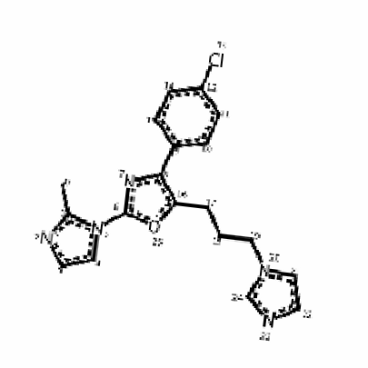 Cc1nccn1-c1nc(-c2ccc(Cl)cc2)c(CCCn2ccnc2)o1